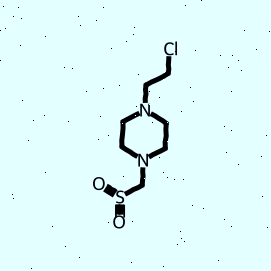 O=[SH](=O)CN1CCN(CCCl)CC1